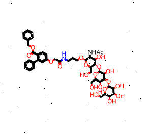 CC(=O)NC1C(O)[C@H](O[C@@H]2OC(CO)[C@H](O)C(O[C@H]3OC(CO)[C@H](O)C(O)C3O)C2O)C(CO)O[C@H]1OCCCNC(=O)COc1ccc(C(=O)OCc2ccccc2)c(-c2ccccc2)c1